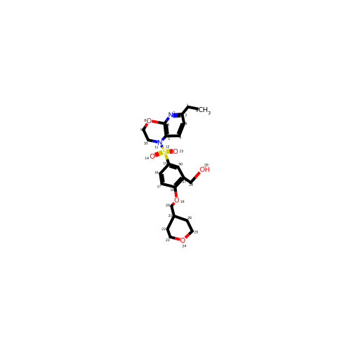 CCc1ccc2c(n1)OCCN2S(=O)(=O)c1ccc(OCC2CCOCC2)c(CO)c1